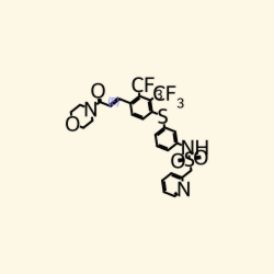 O=C(/C=C/c1ccc(Sc2cccc(NS(=O)(=O)Cc3ccccn3)c2)c(C(F)(F)F)c1C(F)(F)F)N1CCOCC1